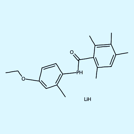 CCOc1ccc(PC(=O)c2c(C)cc(C)c(C)c2C)c(C)c1.[LiH]